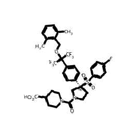 Cc1cccc(C)c1COC(c1ccc([C@]2(S(=O)(=O)c3ccc(F)cc3)CCN(C(=O)N3CCC(C(=O)O)CC3)C2)cc1)(C(F)(F)F)C(F)(F)F